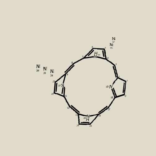 C1=Cc2cc3ccc(cc4nc(cc5ccc(cc1n2)[nH]5)C=C4)[nH]3.[N].[N].[N].[N].[N]